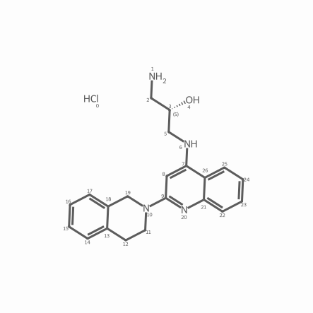 Cl.NC[C@H](O)CNc1cc(N2CCc3ccccc3C2)nc2ccccc12